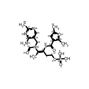 CC(=C(CCOP(=O)(O)O)SC(=O)c1cc(C)oc1C)N(C=O)Cc1cnc(C)nc1N